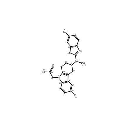 CN(c1nc2ccc(Cl)cc2s1)C1CCc2c(c3cc(F)ccc3n2CC(=O)O)C1